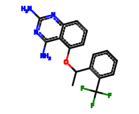 CC(Oc1cccc2nc(N)nc(N)c12)c1ccccc1C(F)(F)F